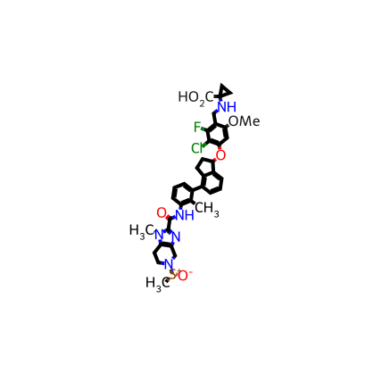 COc1cc(OC2CCc3c(-c4cccc(NC(=O)c5nc6c(n5C)CCN([S+](C)[O-])C6)c4C)cccc32)c(Cl)c(F)c1CNC1(C(=O)O)CC1